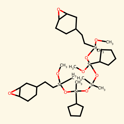 CO[Si](C)(CCC1CCC2OC2C1)O[Si](C)(O[Si](C)(C)O[Si](OC)(O[Si](C)(CCC1CCC2OC2C1)OC)C1CCCC1)C1CCCC1